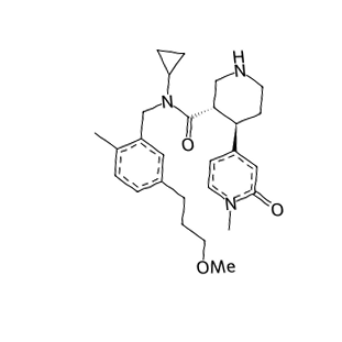 COCCCc1ccc(C)c(CN(C(=O)[C@@H]2CNCC[C@H]2c2ccn(C)c(=O)c2)C2CC2)c1